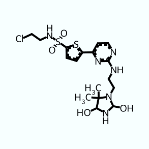 CC1(C)C(O)NC(O)N1CCNc1nccc(-c2ccc(S(=O)(=O)NCCCl)s2)n1